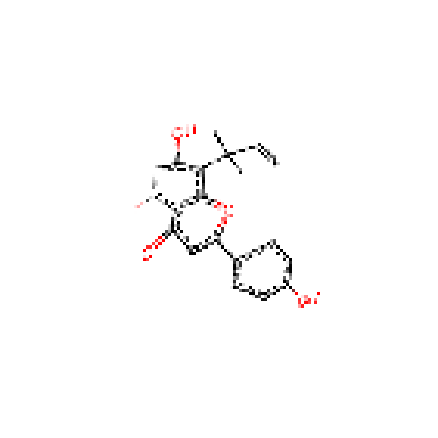 C=CC(C)(C)c1c(O)cc(O)c2c(=O)cc(-c3ccc(O)cc3)oc12